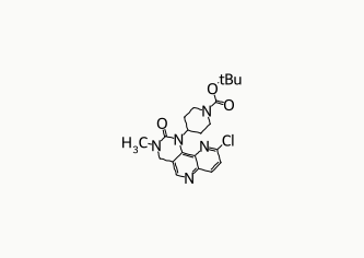 CN1Cc2cnc3ccc(Cl)nc3c2N(C2CCN(C(=O)OC(C)(C)C)CC2)C1=O